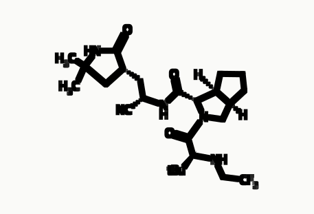 CC1(C)C[C@@H](C[C@@H](C#N)NC(=O)[C@@H]2[C@H]3CCC[C@H]3CN2C(=O)[C@@H](NCC(F)(F)F)C(C)(C)C)C(=O)N1